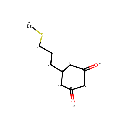 CCSCCCC1CC(=O)CC(=O)C1